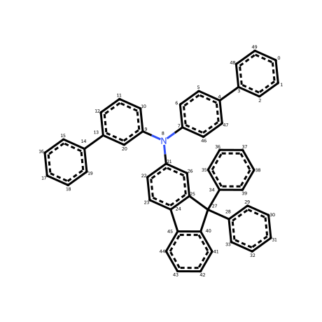 c1ccc(-c2ccc(N(c3cccc(-c4ccccc4)c3)c3ccc4c(c3)C(c3ccccc3)(c3ccccc3)c3ccccc3-4)cc2)cc1